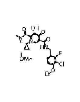 CCOc1ccc(CNC(=O)c2cn3c(c(O)c2=O)C(=O)N(C)C[C@@]32C[C@@H]2COC)c(F)c1Cl